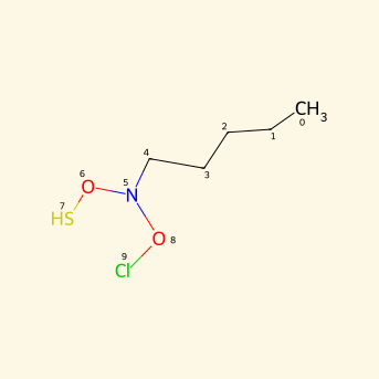 CCCCCN(OS)OCl